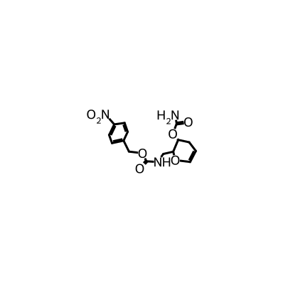 NC(=O)OC1CC=COC1CNC(=O)OCc1ccc([N+](=O)[O-])cc1